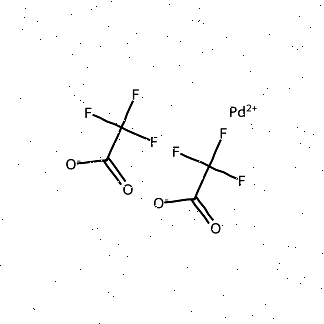 O=C([O-])C(F)(F)F.O=C([O-])C(F)(F)F.[Pd+2]